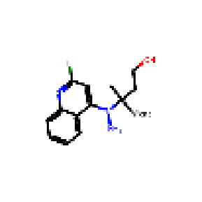 CCCCCC(C)(CCO)N(N)c1cc(F)nc2ccccc12